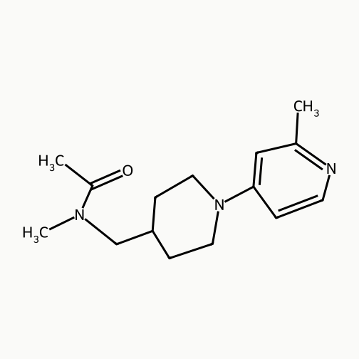 CC(=O)N(C)CC1CCN(c2ccnc(C)c2)CC1